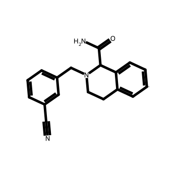 N#Cc1cccc(CN2CCc3c[c]ccc3C2C(N)=O)c1